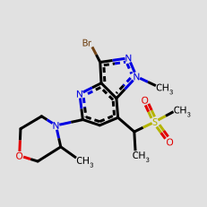 CC1COCCN1c1cc(C(C)S(C)(=O)=O)c2c(n1)c(Br)nn2C